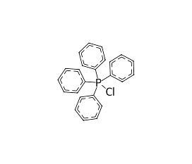 ClP(c1ccccc1)(c1ccccc1)(c1ccccc1)c1ccccc1